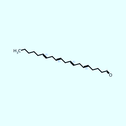 CCCCC/C=C/C/C=C/C/C=C/C/C=C/CCC[C]=O